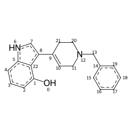 Oc1cccc2[nH]cc(C3=CCN(Cc4ccccc4)CC3)c12